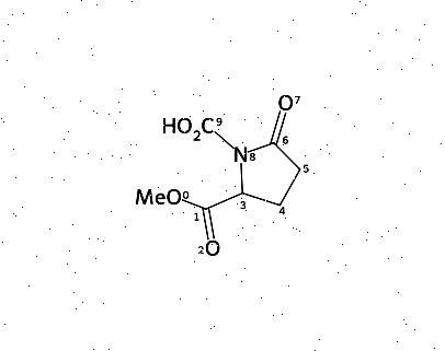 COC(=O)C1CCC(=O)N1C(=O)O